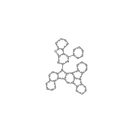 c1ccc(-c2nc(-n3c4ccc5ccccc5c4c4cc5c6ccccc6n6c7ccccc7c(c43)c56)nc3oc4ccccc4c23)cc1